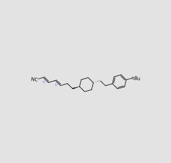 CCCCc1ccc(CC[C@H]2CC[C@H](CC/C=C/C=C/C#N)CC2)cc1